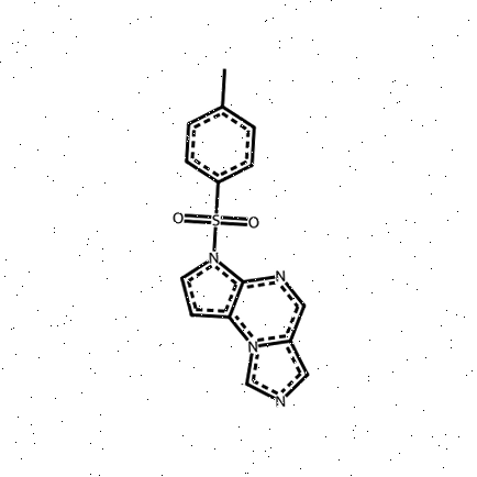 Cc1ccc(S(=O)(=O)n2ccc3c2ncc2cn[c]n23)cc1